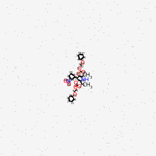 CCC1=C(OC(=O)OCCOc2ccccc2)C(c2cccc([N+](=O)[O-])c2)C(OC(=O)OCCOc2ccccc2)=C(C)N1